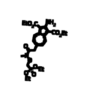 CCOC(=O)c1c2ccc(CC(=O)N(C)OCP(=O)(OCC)OCC)ccc-2c(C(=O)OCC)c1N